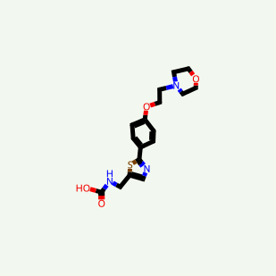 O=C(O)NCc1cnc(-c2ccc(OCCN3CCOCC3)cc2)s1